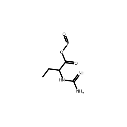 CCC(NC(=N)N)C(=O)OP=O